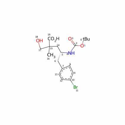 CC(C)(C)OC(=O)N[C@H](Cc1ccc(Br)cc1)CC(C)(CO)C(=O)O